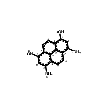 Nc1cc(O)c2ccc3c(N=O)cc(N)c4ccc1c2c43